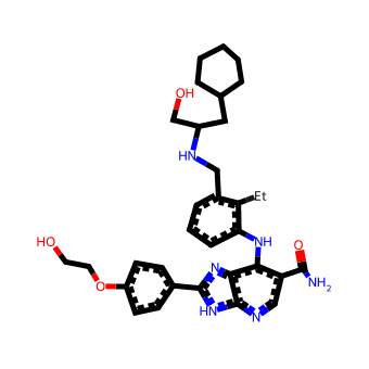 CCc1c(CNC(CO)CC2CCCCC2)cccc1Nc1c(C(N)=O)cnc2[nH]c(-c3ccc(OCCO)cc3)nc12